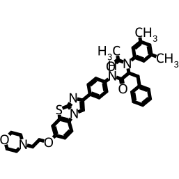 CC(=O)N(c1cc(C)cc(C)c1)C(Cc1ccccc1)C(=O)Nc1ccc(-c2cn3c(n2)sc2cc(OCCN4CCOCC4)ccc23)cc1